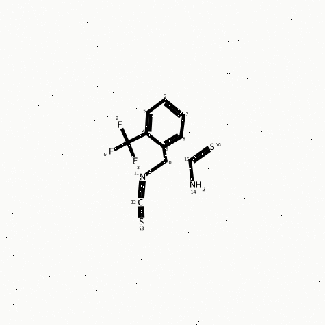 FC(F)(F)c1ccccc1CN=C=S.NC=S